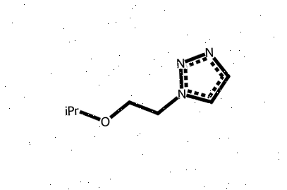 CC(C)OCCn1ccnn1